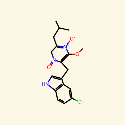 COC1=C(Cc2c[nH]c3ccc(Cl)cc23)[N+](=O)CC(CC(C)C)=[N+]1[O-]